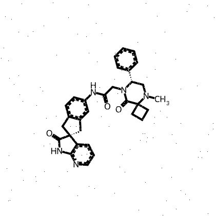 CN1C[C@@H](c2ccccc2)N(CC(=O)Nc2ccc3c(c2)C[C@@]2(C3)C(=O)Nc3ncccc32)C(=O)C12CCC2